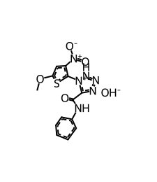 COc1cc([N+](=O)[O-])c(-[n+]2[nH]nnc2C(=O)Nc2ccccc2)s1.[OH-]